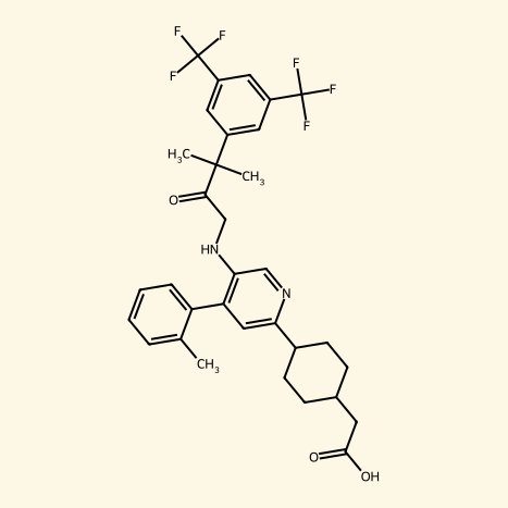 Cc1ccccc1-c1cc(C2CCC(CC(=O)O)CC2)ncc1NCC(=O)C(C)(C)c1cc(C(F)(F)F)cc(C(F)(F)F)c1